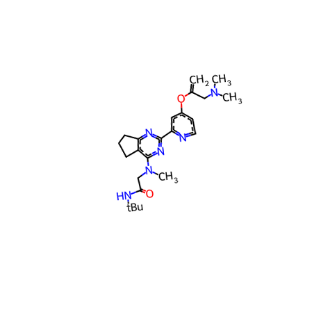 C=C(CN(C)C)Oc1ccnc(-c2nc3c(c(N(C)CC(=O)NC(C)(C)C)n2)CCC3)c1